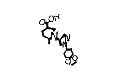 CC1CCC(C(=O)O)CN1c1cnn(C2CCC3(CC2)OCCO3)c1